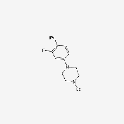 CCN1CCN(c2ccc(C(C)C)c(F)c2)CC1